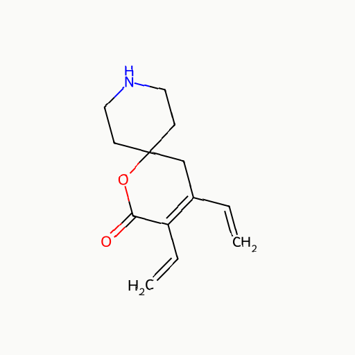 C=CC1=C(C=C)C(=O)OC2(CCNCC2)C1